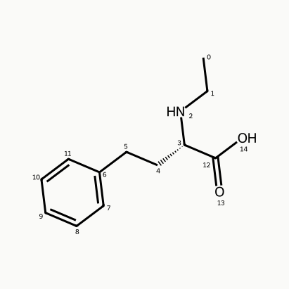 CCN[C@@H](CCc1ccccc1)C(=O)O